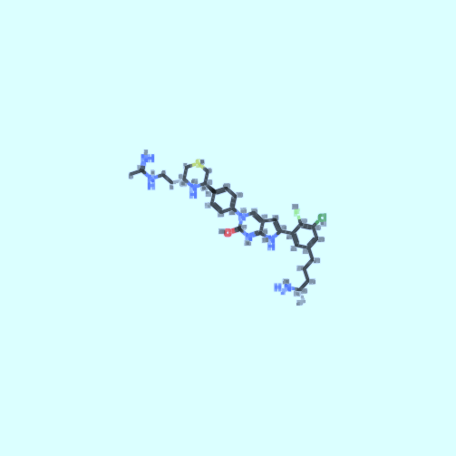 CC(=N)NCC[C@@H]1CSC[C@@H](c2ccc(-n3cc4cc(-c5cc(CCC[C@H](C)N)cc(Cl)c5F)[nH]c4nc3=O)cc2)N1